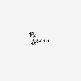 CO.Cl.Cl.O.O